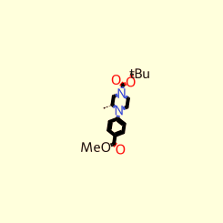 COC(=O)c1ccc(N2CCN(C(=O)OC(C)(C)C)C[C@H]2C)cc1